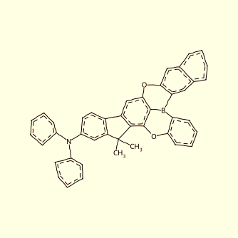 CC1(C)c2cc(N(c3ccccc3)c3ccccc3)ccc2-c2cc3c4c(c21)Oc1ccccc1B4c1cc2ccccc2cc1O3